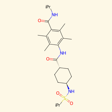 Cc1c(C)c(C(=O)NC(C)C)c(C)c(C)c1NC(=O)[C@H]1CC[C@H](NS(=O)(=O)C(C)C)CC1